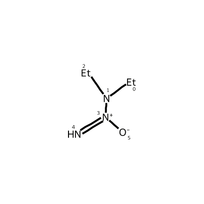 CCN(CC)[N+](=N)[O-]